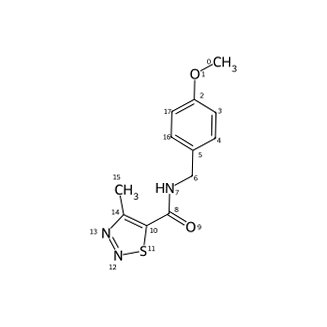 COc1ccc(CNC(=O)c2snnc2C)cc1